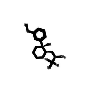 [2H]Oc1cccc([C@]2(O)CCCC[C@H]2CN(C)C([2H])([2H])[2H])c1